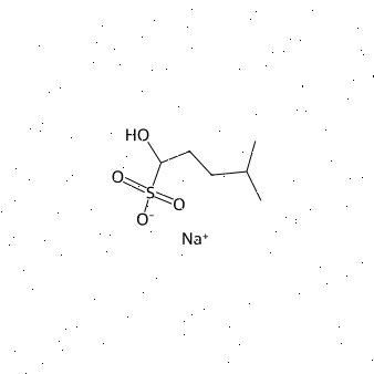 CC(C)CCC(O)S(=O)(=O)[O-].[Na+]